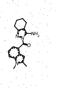 Cc1cc2c(C(=O)n3nc4c(c3N)CCCC4)cccc2n1C